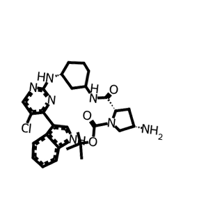 CC(C)(C)OC(=O)N1C[C@@H](N)C[C@H]1C(=O)NC1CCC[C@@H](Nc2ncc(Cl)c(-c3c[nH]c4ccccc34)n2)C1